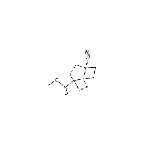 C#CC12CCC3(C(=O)OC)CCC13CC2